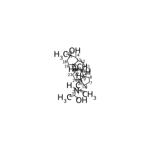 CC(=NC(C)O)[C@H]1CC[C@H]2[C@@H]3CCC4CC(C)(O)CC[C@]4(C)[C@H]3CC[C@]12C